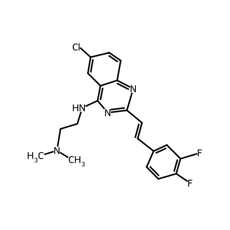 CN(C)CCNc1nc(C=Cc2ccc(F)c(F)c2)nc2ccc(Cl)cc12